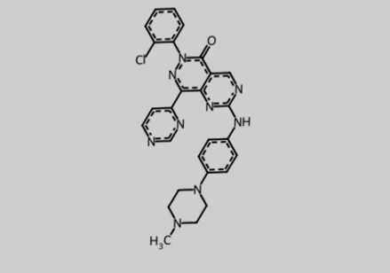 CN1CCN(c2ccc(Nc3ncc4c(=O)n(-c5ccccc5Cl)nc(-c5ccncn5)c4n3)cc2)CC1